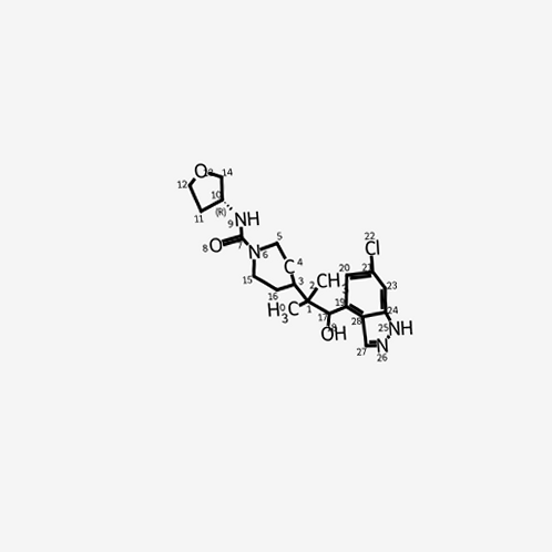 CC(C)(C1CCN(C(=O)N[C@@H]2CCOC2)CC1)C(O)c1cc(Cl)cc2[nH]ncc12